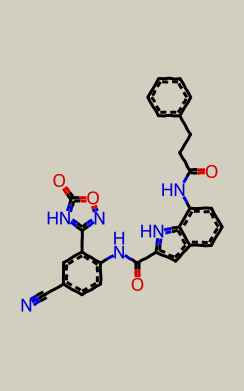 N#Cc1ccc(NC(=O)c2cc3cccc(NC(=O)CCc4ccccc4)c3[nH]2)c(-c2noc(=O)[nH]2)c1